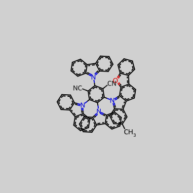 Cc1ccc2c(c1)c1ccc3c4ccccc4oc3c1n2-c1c(C#N)c(-n2c3ccccc3c3ccccc32)c(C#N)c(-n2c3ccccc3c3ccccc32)c1-n1c2ccccc2c2ccccc21